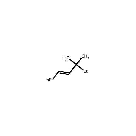 [CH2]CCC=CC(C)(C)CC